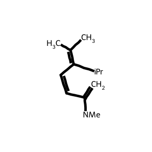 C=C(/C=C\C(=C(C)C)C(C)C)NC